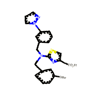 CCOC(=O)c1csc(N(Cc2cccc(OC)c2)Cc2cccc(-n3cccn3)c2)n1